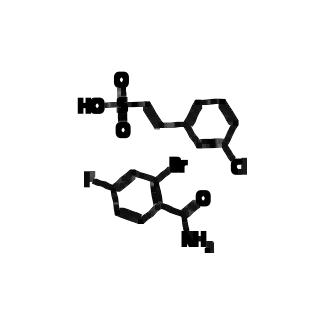 NC(=O)c1ccc(F)cc1Br.O=S(=O)(O)C=Cc1cccc(Cl)c1